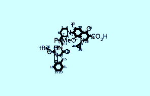 COc1c(N2CCC/C(=C(\F)CNC(=O)[C@H](Cc3ccccc3)NC(=O)OC(C)(C)C)C2)c(F)cc2c(=O)c(C(=O)O)cn(C3CC3)c12